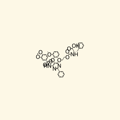 COc1ccccc1Oc1c(NS(=O)(=O)c2ccc3c(c2)OCO3)nc(-c2ccccc2)nc1OCCOC(=O)N[C@@H](Cc1ccccc1)C(=O)O